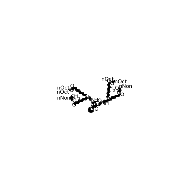 CCCCCCCCCC(C)COC(=O)CCCCCN(CCCCCCCC(=O)OC(CCCCCCCC)CCCCCCCC)CCNC(=O)CN(CC(=O)NCCN(CCCCCCCC(=O)OC(CCCCCCCC)CCCCCCCC)CCCCCC(=O)OCC(C)CCCCCCCCC)C(=O)CN1CCCC1